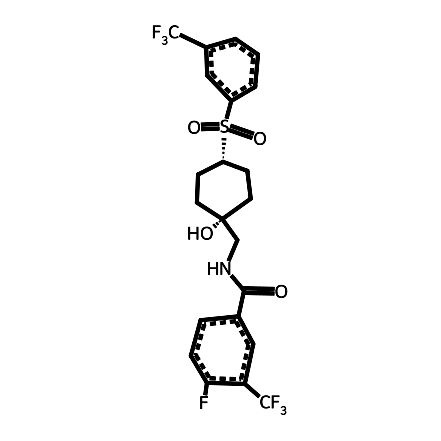 O=C(NC[C@]1(O)CC[C@@H](S(=O)(=O)c2cccc(C(F)(F)F)c2)CC1)c1ccc(F)c(C(F)(F)F)c1